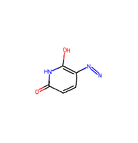 [N]=Nc1ccc(=O)[nH]c1O